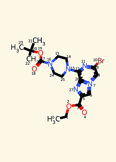 CCOC(=O)c1cn2cc(Br)nc(N3CCN(C(=O)OC(C)(C)C)CC3)c2n1